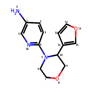 Nc1ccc(N2CCOCC2c2ccoc2)nc1